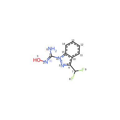 N/C(=N\O)n1nc(C(F)F)c2ccccc21